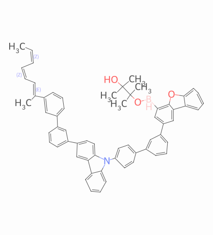 C\C=C/C=C\C=C(/C)c1cccc(-c2cccc(-c3ccc4c(c3)c3ccccc3n4-c3ccc(-c4cccc(-c5cc(BOC(C)(C)C(C)(C)O)c6oc7ccccc7c6c5)c4)cc3)c2)c1